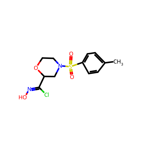 Cc1ccc(S(=O)(=O)N2CCOC(C(Cl)=NO)C2)cc1